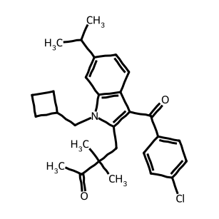 CC(=O)C(C)(C)Cc1c(C(=O)c2ccc(Cl)cc2)c2ccc(C(C)C)cc2n1CC1CCC1